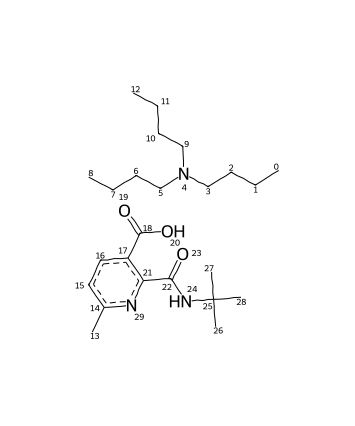 CCCCN(CCCC)CCCC.Cc1ccc(C(=O)O)c(C(=O)NC(C)(C)C)n1